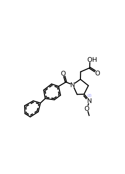 CO/N=C1/CC(CC(=O)O)N(C(=O)c2ccc(-c3ccccc3)cc2)C1